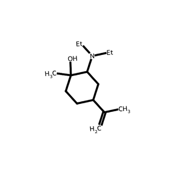 C=C(C)C1CCC(C)(O)C(N(CC)CC)C1